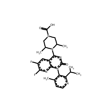 Cc1ccnc(C(C)C)c1-n1c(=O)nc(N2C(C)CN(C(=O)O)CC2C)c2cc(F)c(F)nc21